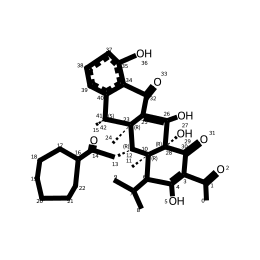 CC(=O)C1=C(O)C(C(C)C)[C@@]2(C)[C@H](CC(=O)C3CCCCCC3)[C@]3(C)C(=C(O)[C@@]2(O)C1=O)C(=O)c1c(O)cccc1[C@H]3C